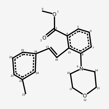 COC(=O)c1cccc(N2CCOCC2)c1C=Cc1cccc(C)c1